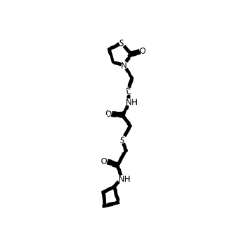 O=C(CSCC(=O)NC1CCC1)NCCN1CCSC1=O